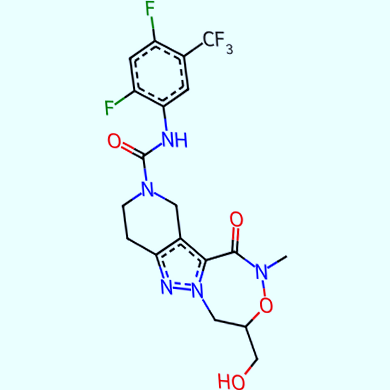 CN1OC(CO)Cn2nc3c(c2C1=O)CN(C(=O)Nc1cc(C(F)(F)F)c(F)cc1F)CC3